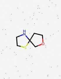 C1CSC2(CCOC2)N1